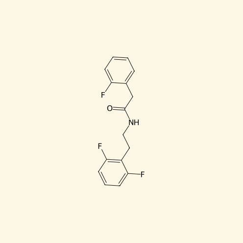 O=C(Cc1ccccc1F)NCCc1c(F)cccc1F